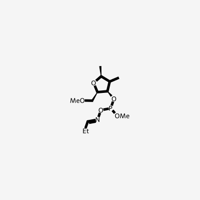 CC/C=N/OP(OC)O[C@@H]1C(C)[C@H](C)O[C@@H]1COC